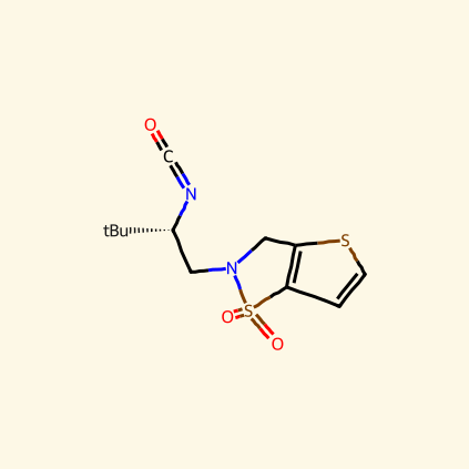 CC(C)(C)[C@@H](CN1Cc2sccc2S1(=O)=O)N=C=O